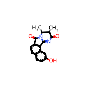 C[C@H]1C(=O)N=C2c3c(ccc4ccc(O)cc34)C(=O)N2[C@H]1C